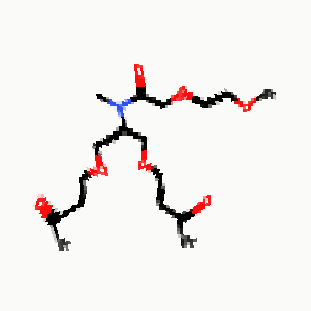 CC(C)OCCOCC(=O)N(C)C(COCCC(=O)C(C)C)COCCC(=O)C(C)C